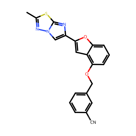 Cc1nn2cc(-c3cc4c(OCc5cccc(C#N)c5)cccc4o3)nc2s1